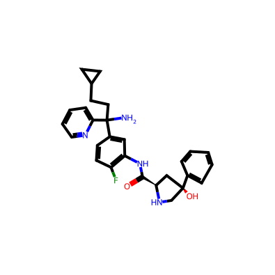 NC(CCC1CC1)(c1ccc(F)c(NC(=O)[C@H]2C[C@](O)(c3ccccc3)CN2)c1)c1ccccn1